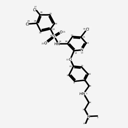 CN(C)CCNCc1ccc(Oc2ncc(Cl)cc2NS(=O)(=O)c2ccc(Cl)c(Cl)c2)cc1